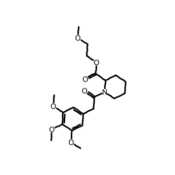 COCCOC(=O)C1CCCCN1C(=O)Cc1cc(OC)c(OC)c(OC)c1